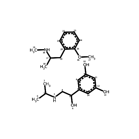 CC(C)NCC(O)c1cc(O)cc(O)c1.CNC(C)Cc1ccccc1OC